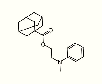 CN(CCOC(=O)C12CC3CC(CC(C3)C1)C2)c1ccccc1